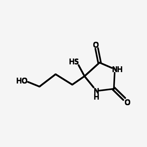 O=C1NC(=O)C(S)(CCCO)N1